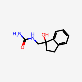 NC(=O)NCC1(O)CCc2ccccc21